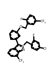 Fc1ccc(C(F)(F)F)cc1COc1cccc(-c2c3cccc(C(F)(F)F)c3nn2Cc2ccc(Cl)cc2F)c1